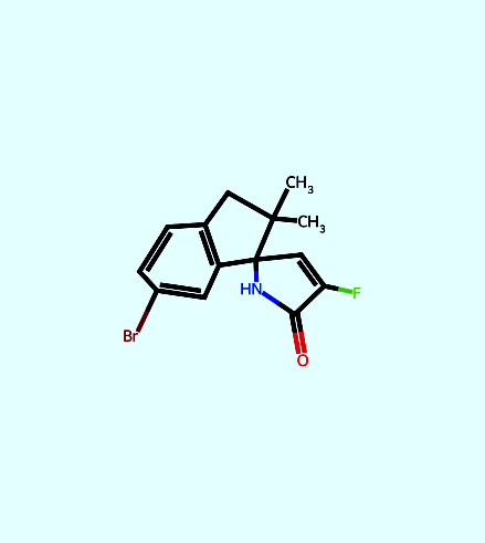 CC1(C)Cc2ccc(Br)cc2C12C=C(F)C(=O)N2